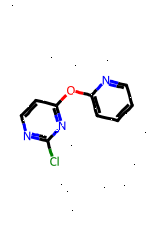 Clc1nccc(Oc2ccccn2)n1